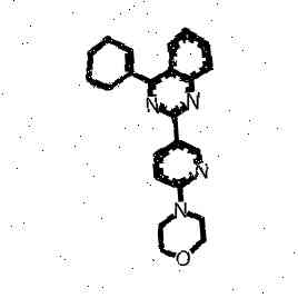 C1=C(c2nc(-c3ccc(N4CCOCC4)nc3)nc3ccccc23)CCCC1